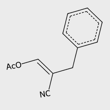 CC(=O)OC=C(C#N)Cc1ccccc1